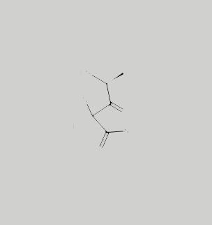 CC[C@@](N)(C(N)=O)C(=O)[C@H](C)N